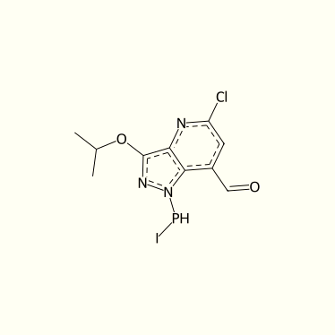 CC(C)Oc1nn(PI)c2c(C=O)cc(Cl)nc12